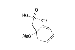 COC1(CP(=O)(O)O)C=CC=CC1